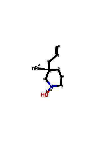 C=CC[C@]1(CCC)CCCN(O)C1